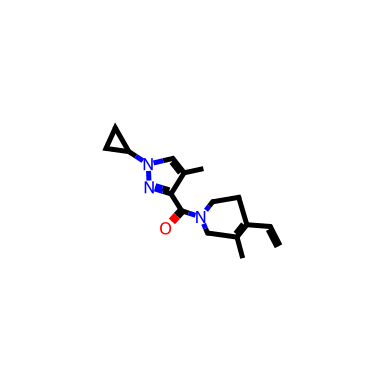 C=CC1=C(C)CN(C(=O)c2nn(C3CC3)cc2C)CC1